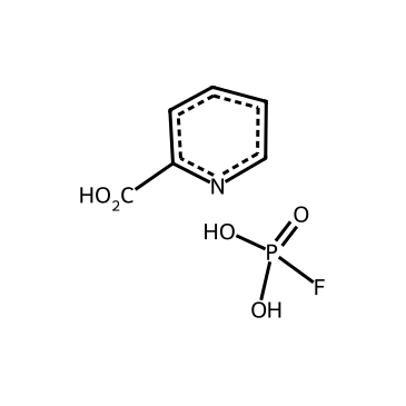 O=C(O)c1ccccn1.O=P(O)(O)F